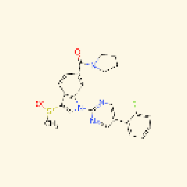 C[S+]([O-])c1cn(-c2ncc(-c3ccccc3F)cn2)c2cc(C(=O)N3CCCC3)ccc12